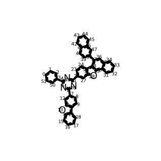 c1ccc(-c2nc(-c3ccc4c(c3)oc3ccccc34)nc(-c3ccc4c(c3)oc3c5ccccc5cc(-c5ccc6ccccc6c5)c43)n2)cc1